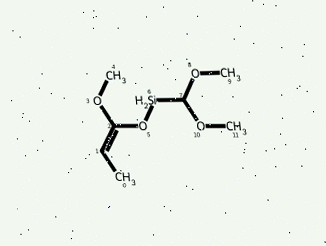 C/C=C(/OC)O[SiH2]C(OC)OC